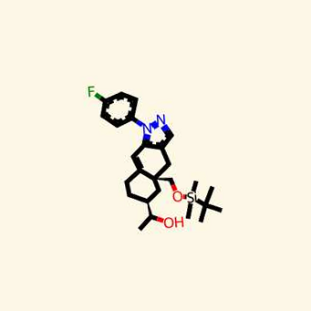 CC(O)[C@H]1CCC2=Cc3c(cnn3-c3ccc(F)cc3)C[C@]2(CO[Si](C)(C)C(C)(C)C)C1